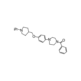 CC(C)N1CCC(COc2ccc(N3CCN(C(=O)c4ccccc4)CC3)cc2)CC1